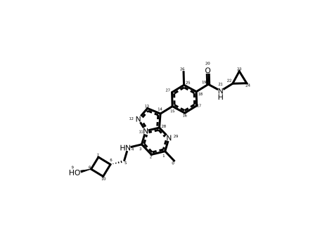 Cc1cc(NC[C@H]2C[C@H](O)C2)n2ncc(-c3ccc(C(=O)NC4CC4)c(C)c3)c2n1